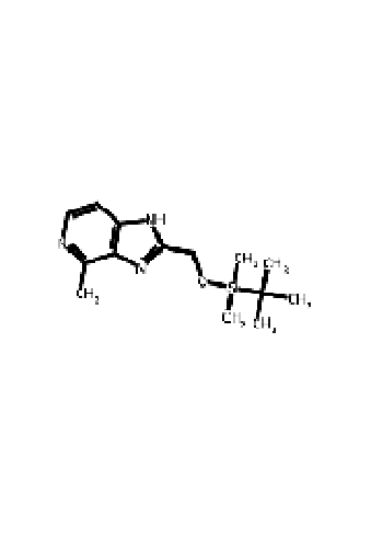 Cc1nccc2[nH]c(CO[Si](C)(C)C(C)(C)C)nc12